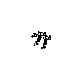 [S]=[Cd].[S]=[Cd].[Zn]